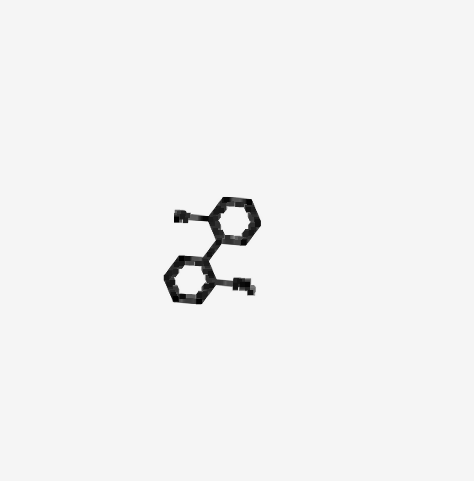 CC(C)c1ccccc1-c1ccccc1P